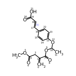 C=C(CC(=O)OC)C(=O)OC(C)Oc1ccc(/C=C/C(=O)O)cc1